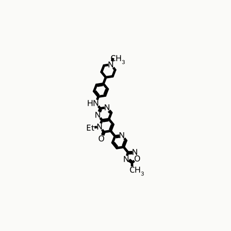 CCn1c(=O)c(-c2ccc(-c3noc(C)n3)cn2)cc2cnc(Nc3ccc(C4CCN(C)CC4)cc3)nc21